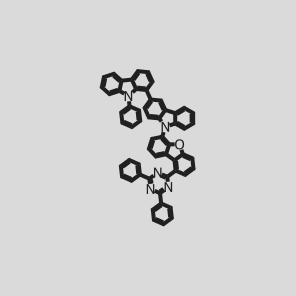 c1ccc(-c2nc(-c3ccccc3)nc(-c3cccc4oc5c(-n6c7ccccc7c7cc(-c8cccc9c%10ccccc%10n(-c%10ccccc%10)c89)ccc76)cccc5c34)n2)cc1